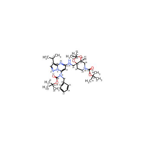 CC(C)c1cnn2c(N(Cc3ccccc3)C(=O)OC(C)(C)C)cc(NC[C@]34CCN(C(=O)OC(C)(C)C)C[C@H]3OC(C)(C)O4)nc12